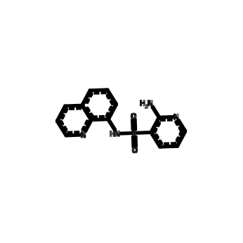 Nc1ncccc1S(=O)(=O)Nc1cccc2cccnc12